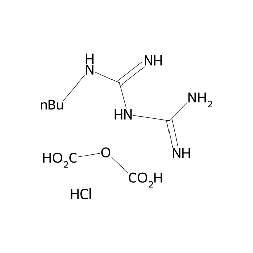 CCCCNC(=N)NC(=N)N.Cl.O=C(O)OC(=O)O